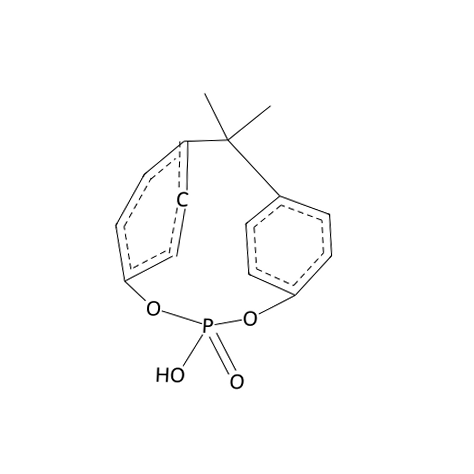 CC1(C)c2ccc(cc2)OP(=O)(O)Oc2ccc1cc2